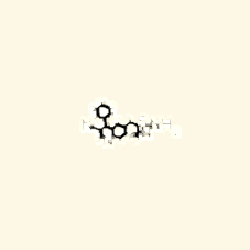 N#Cc1cnc2ccc(CC3SC(N)=NC3=O)cc2c1-c1ccccc1